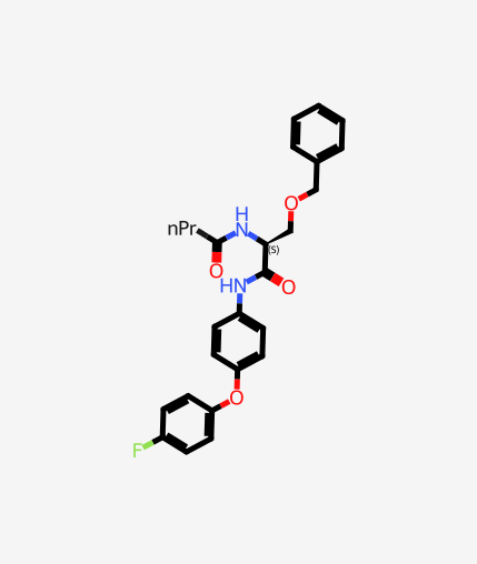 CCCC(=O)N[C@@H](COCc1ccccc1)C(=O)Nc1ccc(Oc2ccc(F)cc2)cc1